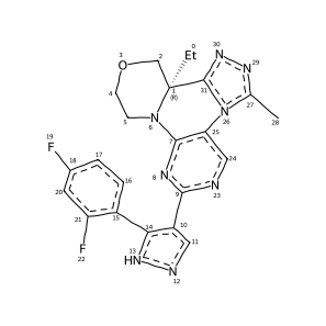 CC[C@@]12COCCN1c1nc(-c3cn[nH]c3-c3ccc(F)cc3F)ncc1-n1c(C)nnc12